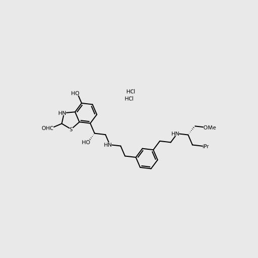 COC[C@H](CC(C)C)NCCc1cccc(CCNC[C@H](O)c2ccc(O)c3c2SC(C=O)N3)c1.Cl.Cl